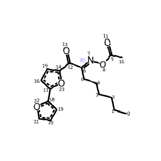 CCCCCC/C(=N\OC(C)=O)C(=O)c1ccc(-c2ccco2)o1